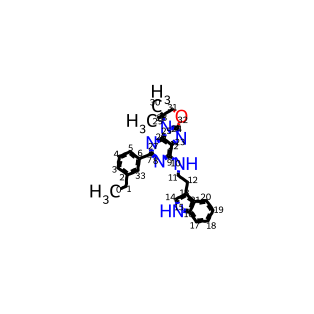 CCc1cccc(-c2nc(NCCc3c[nH]c4ccccc34)c3nc4n(c3n2)C(C)(C)CO4)c1